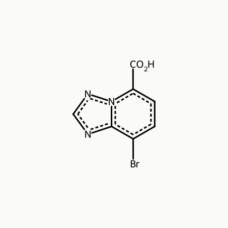 O=C(O)c1ccc(Br)c2ncnn12